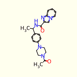 CC(=O)N1CCN(c2ccc(C(C)NC(=O)c3cn4ccccc4n3)cc2)CC1